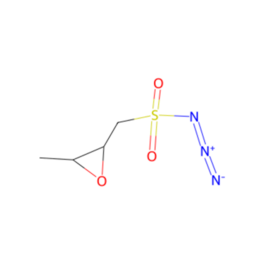 CC1OC1CS(=O)(=O)N=[N+]=[N-]